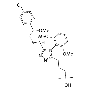 COc1cccc(OC)c1-n1c(CCCC(C)(C)O)nnc1NSC(C)C(OC)c1ncc(Cl)cn1